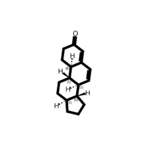 O=C1C=C2C=C[C@H]3[C@@H]4CCC[C@H]4CC[C@@H]3[C@H]2CC1